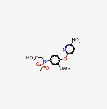 COc1cc(N(CC(=O)O)S(C)(=O)=O)ccc1Oc1ccc([N+](=O)[O-])cn1